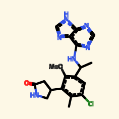 COc1c(C(C)Nc2ncnc3[nH]cnc23)cc(Cl)c(C)c1C1CNC(=O)C1